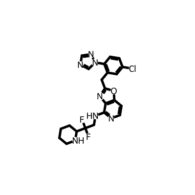 FC(F)(CNc1nccc2oc(Cc3cc(Cl)ccc3-n3cncn3)nc12)C1CCCCN1